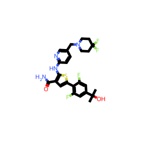 CC(C)(O)c1cc(F)c(-c2cc(C(N)=O)c(Nc3ccc(CN4CCC(F)(F)CC4)cn3)s2)c(F)c1